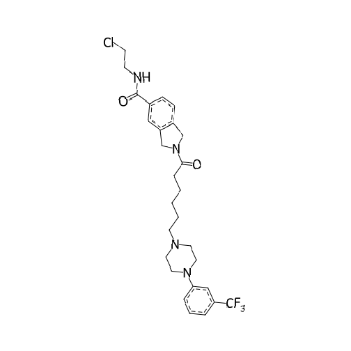 O=C(NCCCl)c1ccc2c(c1)CN(C(=O)CCCCCN1CCN(c3cccc(C(F)(F)F)c3)CC1)C2